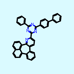 c1ccc(-c2ccc(-c3nc(-c4ccccc4)nc(-c4ccc5c(n4)-c4cccc6cccc(c46)-c4ccccc4-5)n3)cc2)cc1